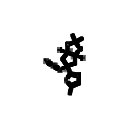 Cc1cnc([C@]2(N=[N+]=[N-])C[C@@H]3OC(C)(C)O[C@@H]3C2)s1